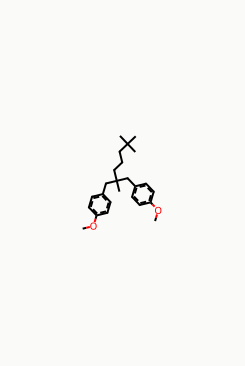 COc1ccc(CC(C)(CCCC(C)(C)C)Cc2ccc(OC)cc2)cc1